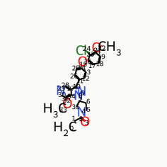 C=CC(=O)N1CCC(n2nc(-c3ccc(Oc4cccc(OC)c4Cl)cc3)c3cncc(OC)c32)C1